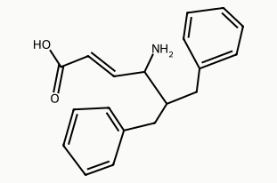 NC(C=CC(=O)O)C(Cc1ccccc1)Cc1ccccc1